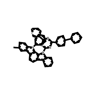 Cc1ccc2c(c1)c1ccc3c4ccccc4n(-c4nc(-c5ccccc5)nc(-c5ccc(-c6ccccc6)cc5)n4)c3c1n2-c1ccccc1